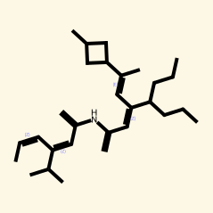 C=C(/C=C(\C=C/C)C(C)C)NC(=C)/C=C(\C=C(/C)C1CC(C)C1)C(CCC)CCC